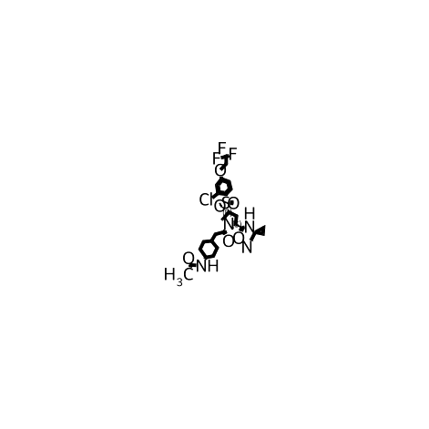 CC(=O)NC1CCC(CC(=O)N2C[C@H](S(=O)(=O)c3ccc(OCC(F)(F)F)cc3Cl)C[C@H]2C(=O)NC2(C#N)CC2)CC1